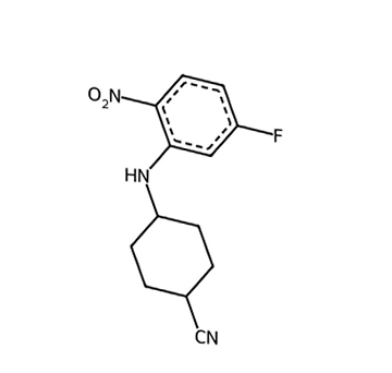 N#CC1CCC(Nc2cc(F)ccc2[N+](=O)[O-])CC1